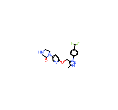 Cc1nnn(-c2ccc(C(F)F)cc2)c1COc1ccc(N2CCNCC2=O)cn1